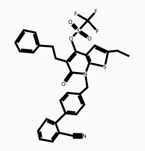 CCc1cc2c(OS(=O)(=O)C(F)(F)F)c(CCc3ccccc3)c(=O)n(Cc3ccc(-c4ccccc4C#N)cc3)c2s1